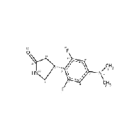 CN(C)c1cc(F)c([C@@H]2CNC(=O)C2)c(F)c1